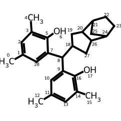 Cc1cc(C)c(O)c(C(c2cc(C)cc(C)c2O)C2CC3C4CCC(C4)C3C2)c1